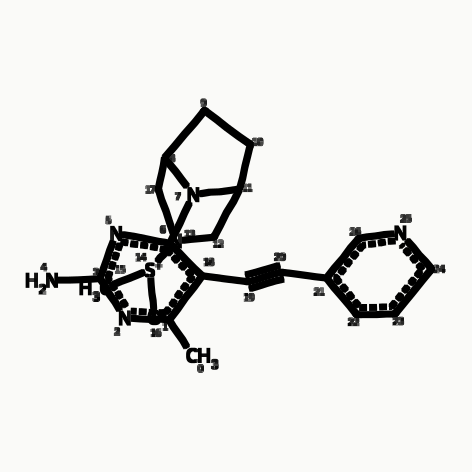 Cc1nc(N)nc(N2C3CCC2CN([S+](C)[O-])C3)c1C#Cc1cccnc1